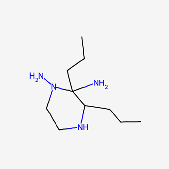 CCCC1NCCN(N)C1(N)CCC